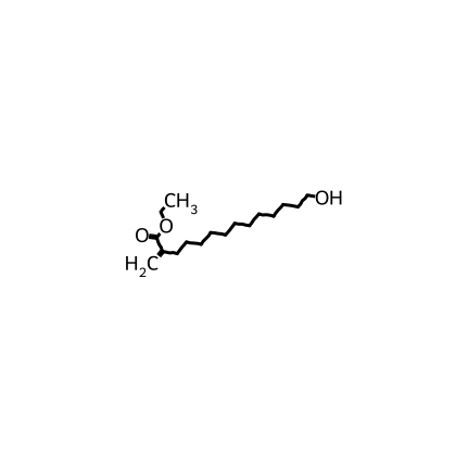 C=C(CCCCCCCCCCCCO)C(=O)OCC